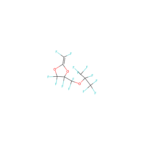 FC(F)=C1OC(F)(F)C(F)(C(F)(F)OC(F)(C(F)(F)F)C(F)(F)F)O1